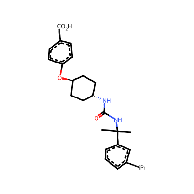 CC(C)c1cccc(C(C)(C)NC(=O)N[C@H]2CC[C@H](Oc3ccc(C(=O)O)cc3)CC2)c1